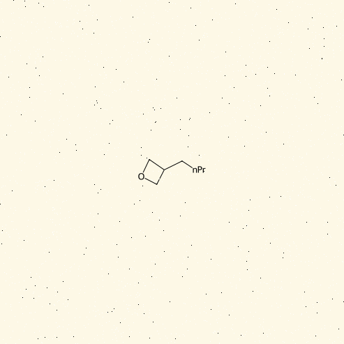 [CH2]CCCC1COC1